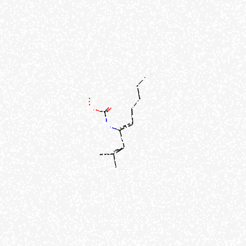 CO/C(C)=C/C(=C/CCCSC)NC(=O)OC(C)(C)C